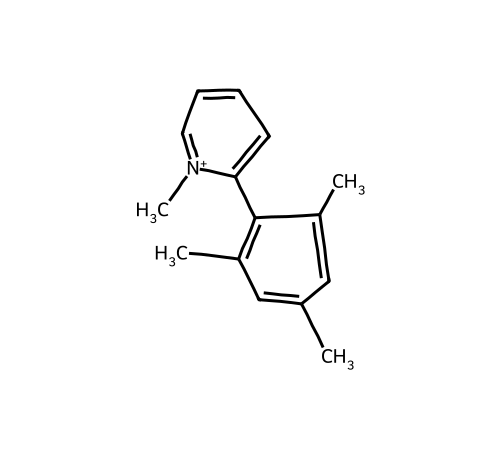 Cc1cc(C)c(-c2cccc[n+]2C)c(C)c1